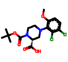 COc1ccc(Cl)c(Cl)c1N1CCN(C(=O)OC(C)(C)C)[C@@H](C(=O)O)C1